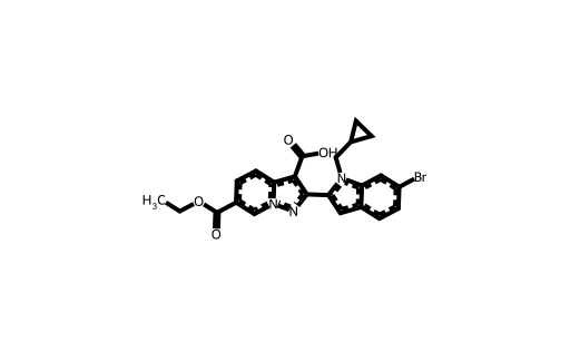 CCOC(=O)c1ccc2c(C(=O)O)c(-c3cc4ccc(Br)cc4n3CC3CC3)nn2c1